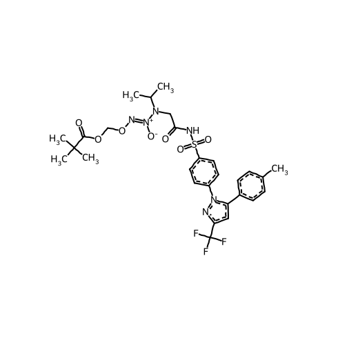 Cc1ccc(-c2cc(C(F)(F)F)nn2-c2ccc(S(=O)(=O)NC(=O)CN(C(C)C)/[N+]([O-])=N/OCOC(=O)C(C)(C)C)cc2)cc1